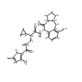 Cc1nc(Cl)c(C(=O)NC[C@H](C(=O)N[C@@H]2C(=O)N3CCCN3Cc3c(F)cccc32)C2CC2)s1